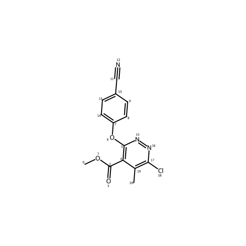 COC(=O)c1c(Oc2ccc(C#N)cc2)nnc(Cl)c1C